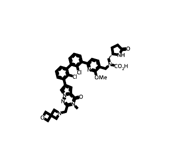 COc1nc(-c2cccc(-c3cccc(-c4cc5c(=O)n(C)c(CN6CC7(COC7)C6)nn5c4)c3Cl)c2Cl)ccc1CN(C[C@@H]1CCC(=O)N1)C(=O)O